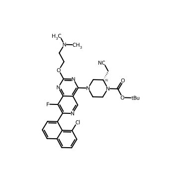 CN(C)CCOc1nc(N2CCN(C(=O)OC(C)(C)C)[C@@H](CC#N)C2)c2cnc(-c3cccc4cccc(Cl)c34)c(F)c2n1